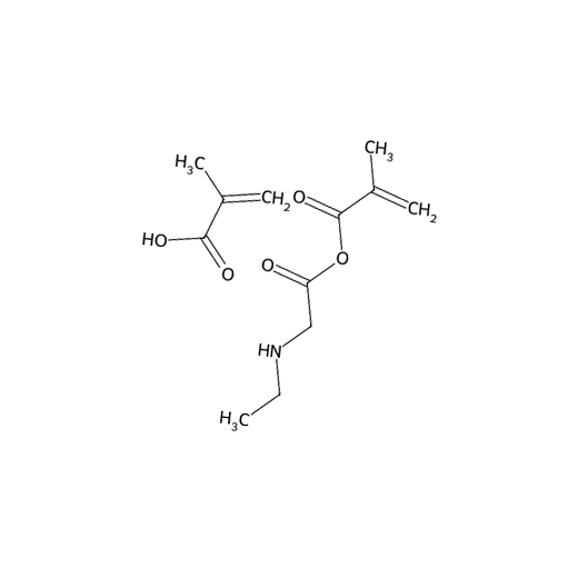 C=C(C)C(=O)O.C=C(C)C(=O)OC(=O)CNCC